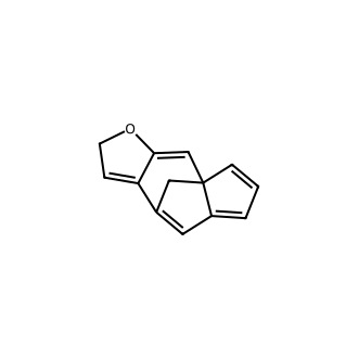 C1=CC23C=C4OCC=C4C(=CC2=C1)C3